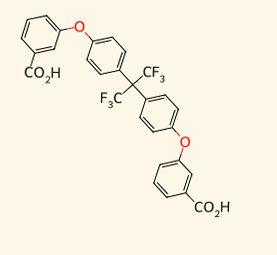 O=C(O)c1cccc(Oc2ccc(C(c3ccc(Oc4cccc(C(=O)O)c4)cc3)(C(F)(F)F)C(F)(F)F)cc2)c1